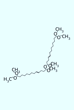 CCOC(CCCCCCC/C=C/CCC(OC)OC(CC/C=C/CCCCCCCC(OCC)OCC)OC)OCC